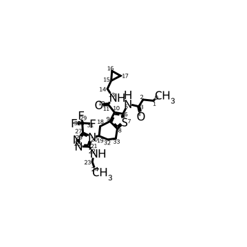 CCCC(=O)Nc1sc2c(c1C(=O)NCC1CC1)CC(n1c(NCC)nnc1C(F)(F)F)CC2